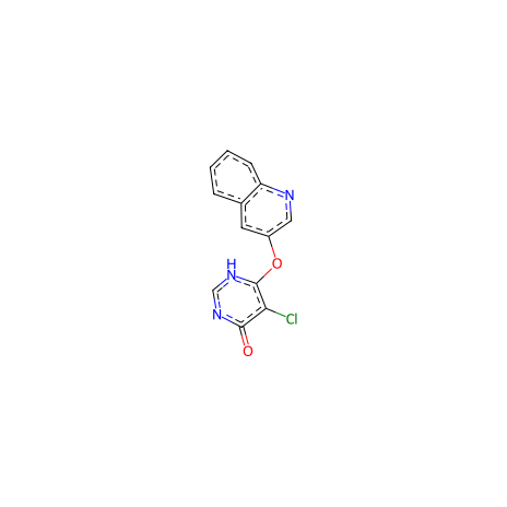 O=c1nc[nH]c(Oc2cnc3ccccc3c2)c1Cl